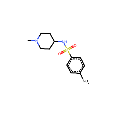 CN1CCC(NS(=O)(=O)c2ccc([N+](=O)[O-])cc2)CC1